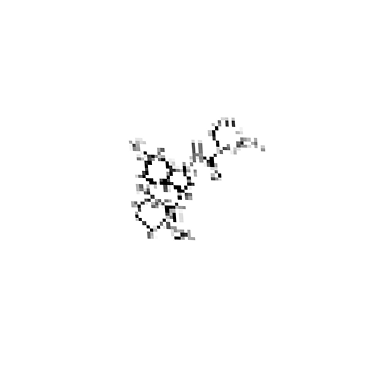 CCN(CC)C(=S)Nn1cc2c3c(cc(Br)cc31)[C@H]1CCCN(C)[C@@H]1C2